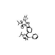 CC(C)n1cnc(-c2ccccc2)c1-c1ccc2nc(N)n(S(=O)(=O)C(C)C)c2c1